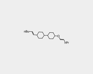 CCCC=COC1CCC(C2CCC(C=CCCCC)CC2)CC1